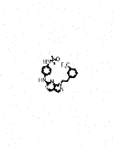 CP(C)(=O)Nc1ccc(Nc2ncc3cnn(CCc4cccc(C(F)(F)F)c4)c3n2)cc1